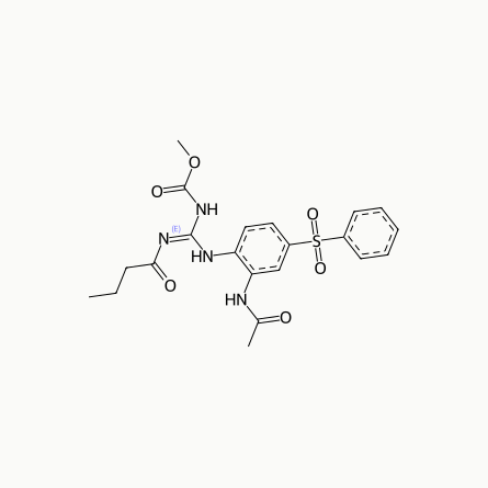 CCCC(=O)/N=C(/NC(=O)OC)Nc1ccc(S(=O)(=O)c2ccccc2)cc1NC(C)=O